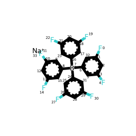 Fc1cc(F)cc([B-](c2cc(F)cc(F)c2)(c2cc(F)cc(F)c2)c2cc(F)cc(F)c2)c1.[Na+]